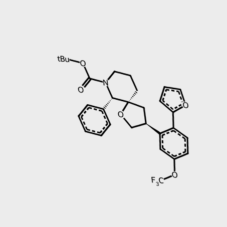 CC(C)(C)OC(=O)N1CCC[C@@]2(C[C@@H](c3cc(OC(F)(F)F)ccc3-c3ccco3)CO2)[C@@H]1c1ccccc1